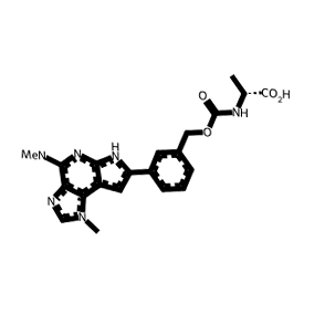 CNc1nc2[nH]c(-c3cccc(COC(=O)N[C@H](C)C(=O)O)c3)cc2c2c1ncn2C